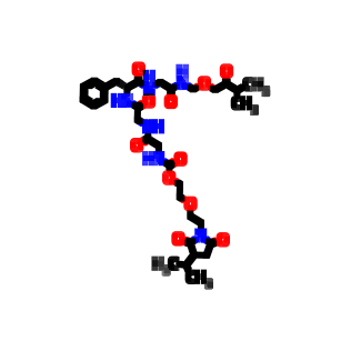 CC(C)C(=O)COCNC(=O)CNC(=O)[C@H](Cc1ccccc1)NC(=O)CNC(=O)CNC(=O)OCCOCCN1C(=O)CC(C(C)C)C1=O